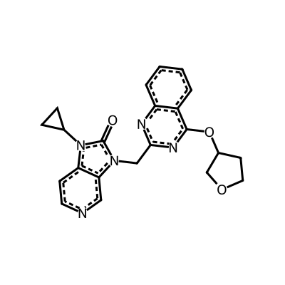 O=c1n(Cc2nc(OC3CCOC3)c3ccccc3n2)c2cnccc2n1C1CC1